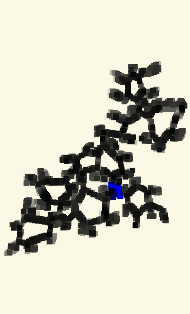 Cc1ccc(N(c2ccc(C=C(c3ccccc3)c3ccccc3)cc2)c2ccc(/C=C/C=C(c3ccccc3)c3ccccc3)c3ccccc23)cc1